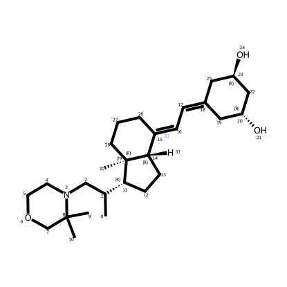 CC(CN1CCOCC1(C)C)[C@H]1CC[C@H]2/C(=C/C=C3C[C@@H](O)C[C@H](O)C3)CCC[C@]12C